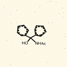 CC(=O)NC(O)(c1ccccc1)c1ccccc1